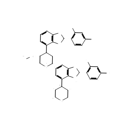 Fc1cc(Cl)ccc1[C@H]1Oc2cccc(C3CCNCC3)c2O1.Fc1cc(Cl)ccc1[C@H]1Oc2cccc(C3CCNCC3)c2O1.O=S(=O)(O)O